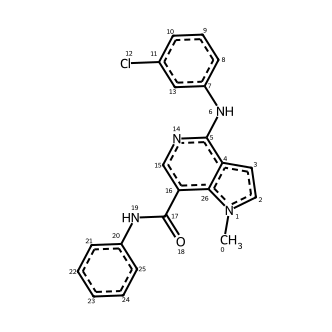 Cn1ccc2c(Nc3cccc(Cl)c3)ncc(C(=O)Nc3ccccc3)c21